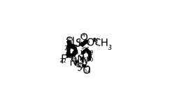 CCOC(=O)CSc1cc(/N=c2/sc(=O)n3n2CCCC3)c(F)cc1Cl